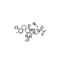 C=C(F)C(=O)N1CCN(c2nc(OC)nc3c2NC(=O)C2(CCCc4c2ccc(C)c4Cl)C3)CC1CC#N